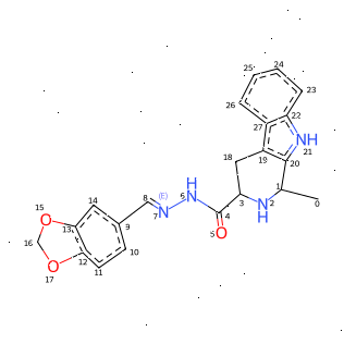 CC1NC(C(=O)N/N=C/c2ccc3c(c2)OCO3)Cc2c1[nH]c1ccccc21